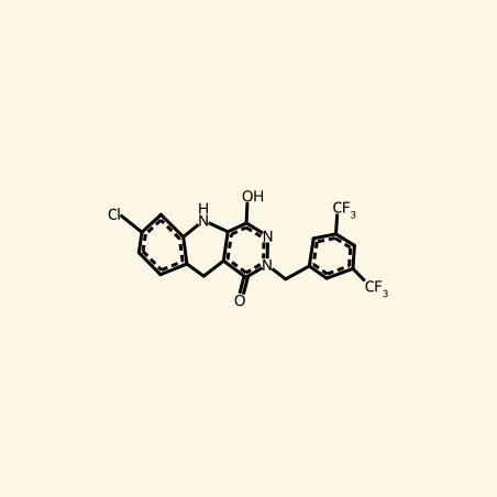 O=c1c2c(c(O)nn1Cc1cc(C(F)(F)F)cc(C(F)(F)F)c1)Nc1cc(Cl)ccc1C2